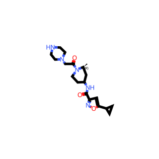 C[C@@H]1CC(NC(=O)c2cc(C3CC3)on2)CCN1C(=O)CN1CCNCC1